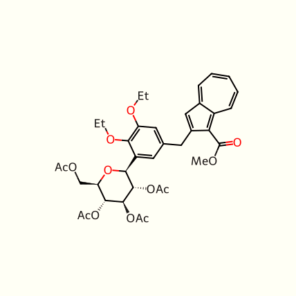 CCOc1cc(Cc2cc3cccccc-3c2C(=O)OC)cc([C@@H]2O[C@H](COC(C)=O)[C@@H](OC(C)=O)[C@H](OC(C)=O)[C@H]2OC(C)=O)c1OCC